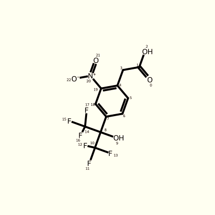 O=C(O)Cc1ccc(C(O)(C(F)(F)F)C(F)(F)F)cc1[N+](=O)[O-]